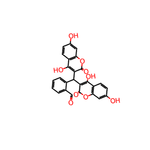 O=Cc1ccccc1C(c1c(O)c2ccc(O)cc2oc1=O)c1c(O)c2ccc(O)cc2oc1=O